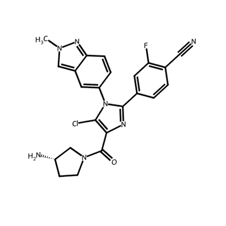 Cn1cc2cc(-n3c(-c4ccc(C#N)c(F)c4)nc(C(=O)N4CC[C@H](N)C4)c3Cl)ccc2n1